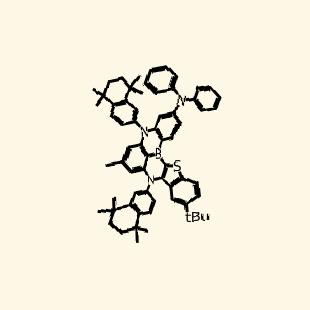 Cc1cc2c3c(c1)N(c1ccc4c(c1)C(C)(C)CCC4(C)C)c1c(sc4ccc(C(C)(C)C)cc14)B3c1ccc(N(c3ccccc3)c3ccccc3)cc1N2c1ccc2c(c1)C(C)(C)CCC2(C)C